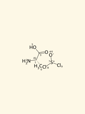 C[C@H](N)C(=O)O.[O-][S+](Cl)Cl